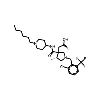 CCCCCCN1CCC(NC(=O)[C@]2(CC(=O)O)CN(Cc3c(Cl)cccc3C(F)(F)F)C[C@@H]2C)CC1